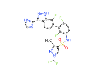 Cc1nn(C(F)F)cc1S(=O)(=O)Nc1ccc(F)c(-c2ccc3c(-c4ncc[nH]4)n[nH]c3c2F)c1F